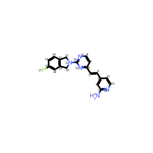 Nc1cc(/C=C/c2ccnc(N3Cc4ccc(F)cc4C3)n2)ccn1